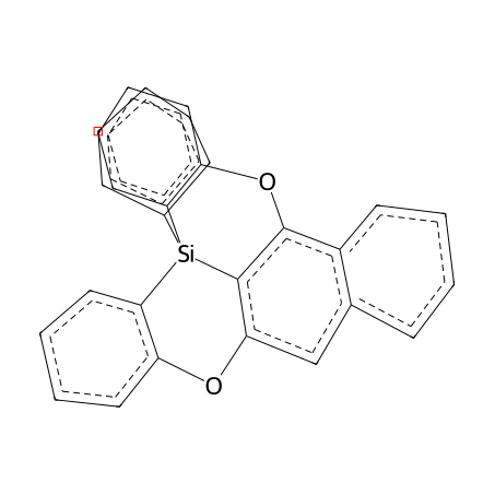 c1ccc([Si]23c4ccccc4Oc4cc5ccccc5c(c42)Oc2ccccc23)cc1